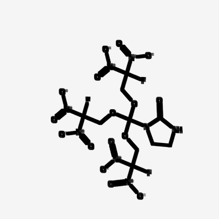 O=C1NCCN1C(OCC(F)([N+](=O)[O-])[N+](=O)[O-])(OCC(F)([N+](=O)[O-])[N+](=O)[O-])OCC(F)([N+](=O)[O-])[N+](=O)[O-]